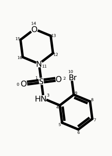 O=S(=O)(Nc1ccccc1Br)N1CCOCC1